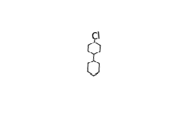 ClC1CCC(C2CCCCC2)CC1